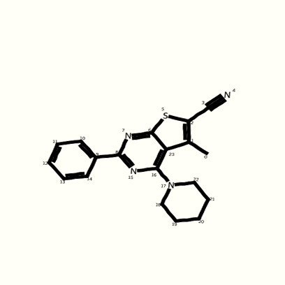 Cc1c(C#N)sc2nc(-c3ccccc3)nc(N3CCCCC3)c12